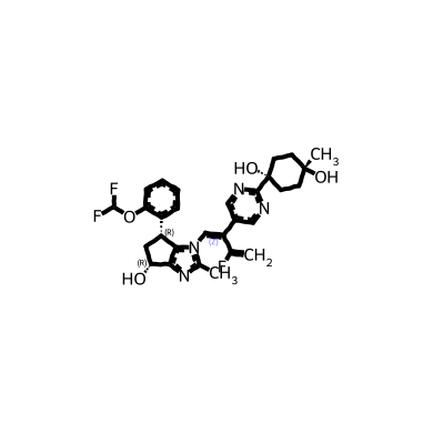 C=C(F)/C(=C\n1c(C)nc2c1[C@@H](c1ccccc1OC(F)F)C[C@H]2O)c1cnc([C@]2(O)CC[C@@](C)(O)CC2)nc1